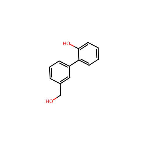 OCc1cccc(-c2ccccc2O)c1